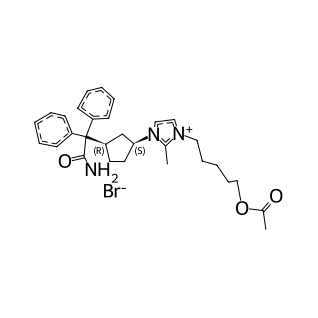 CC(=O)OCCCCC[n+]1ccn([C@H]2CC[C@@H](C(C(N)=O)(c3ccccc3)c3ccccc3)C2)c1C.[Br-]